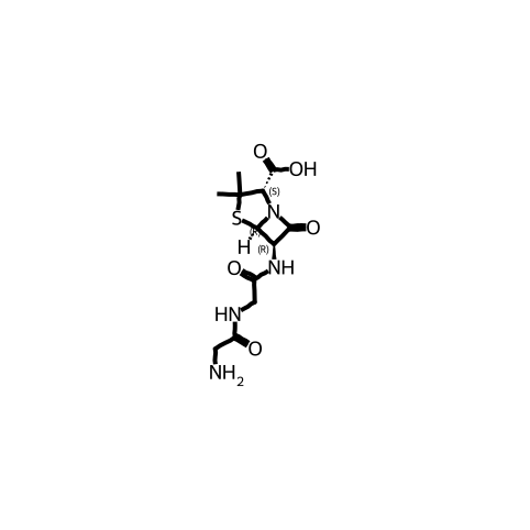 CC1(C)S[C@@H]2[C@H](NC(=O)CNC(=O)CN)C(=O)N2[C@H]1C(=O)O